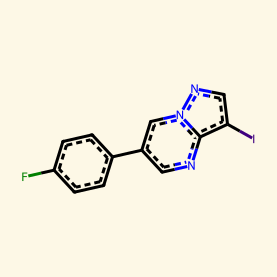 Fc1ccc(-c2cnc3c(I)cnn3c2)cc1